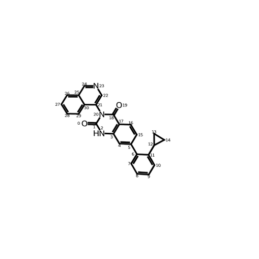 O=c1[nH]c2cc(-c3ccccc3C3CC3)ccc2c(=O)n1-c1cncc2ccccc12